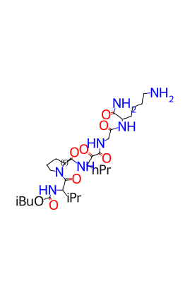 CCCC(NC(=O)[C@@H]1CCCN1C(=O)C(NC(=O)OCC(C)C)C(C)C)C(=O)C(=O)NCC(=O)NC(CCCCN)C(N)=O